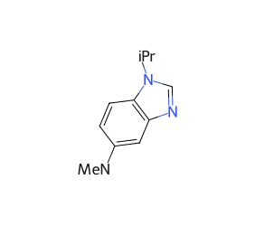 CNc1ccc2c(c1)ncn2C(C)C